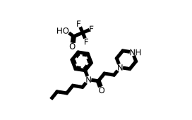 CCCCCN(C(=O)CCN1CCNCC1)c1ccccc1.O=C(O)C(F)(F)F